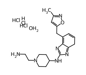 Cc1cc(CC2=C3N=C(NC4CCN(CCN)CC4)N=C3CC=C2)on1.Cl.Cl.Cl.O